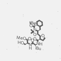 CC[C@H](C)[C@H](NC(=O)[C@@H]1CCO[C@H]1[C@@H]1OC(C)(C)N(C(=O)OC(C)(C)C)[C@H]1CC1CCCCC1)C(=O)N[C@@H](CO)C(=O)OC